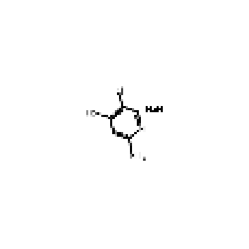 Nc1cc(S)c(Cl)cn1.[NaH]